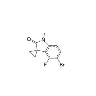 CN1C(=O)C2(CC2)c2c1ccc(Br)c2F